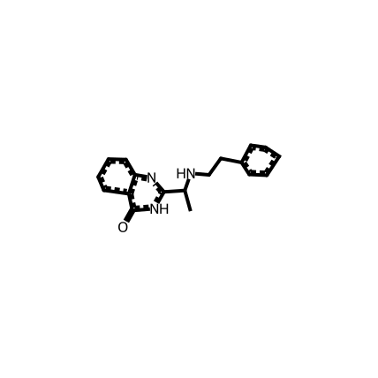 CC(NCCc1ccccc1)c1nc2ccccc2c(=O)[nH]1